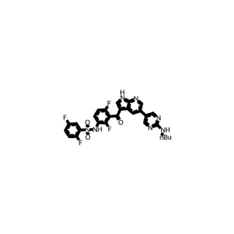 CCCCNc1ncc(-c2cnc3[nH]cc(C(=O)c4c(F)ccc(NS(=O)(=O)c5cc(F)ccc5F)c4F)c3c2)cn1